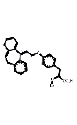 CCOC(Cc1ccc(OC/C=C2/C3=CC=CCC3=CCc3ccccc32)cc1)C(=O)O